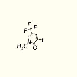 Cn1cc(C(F)(F)F)cc(I)c1=O